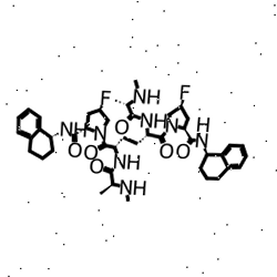 CN[C@@H](C)C(=O)N[C@@H](CC[C@H](NC(=O)[C@H](C)NC)C(=O)N1C[C@@H](F)C[C@H]1C(=O)N[C@@H]1CCCc2ccccc21)C(=O)N1C[C@H](F)C[C@H]1C(=O)N[C@@H]1CCCc2ccccc21